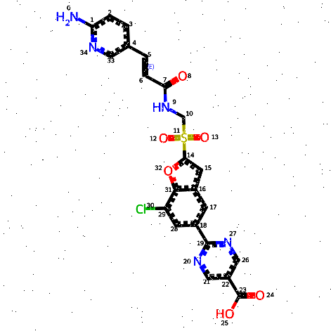 Nc1ccc(/C=C/C(=O)NCS(=O)(=O)c2cc3cc(-c4ncc(C(=O)O)cn4)cc(Cl)c3o2)cn1